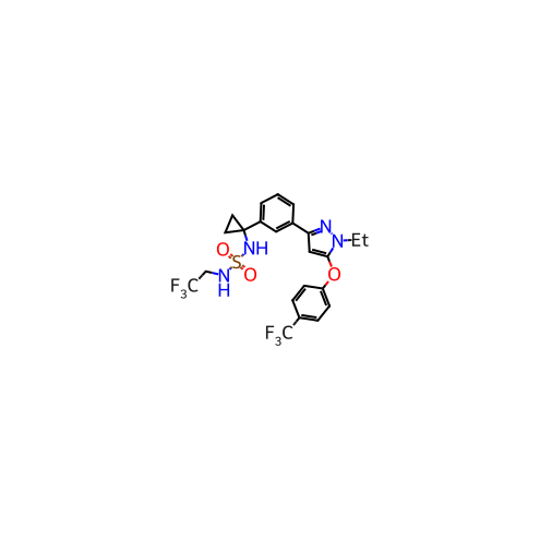 CCn1nc(-c2cccc(C3(NS(=O)(=O)NCC(F)(F)F)CC3)c2)cc1Oc1ccc(C(F)(F)F)cc1